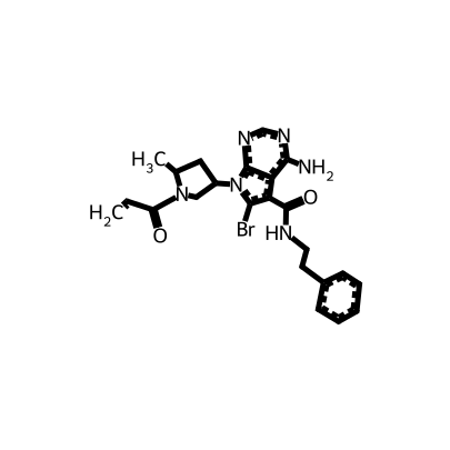 C=CC(=O)N1CC(n2c(Br)c(C(=O)NCCc3ccccc3)c3c(N)ncnc32)CC1C